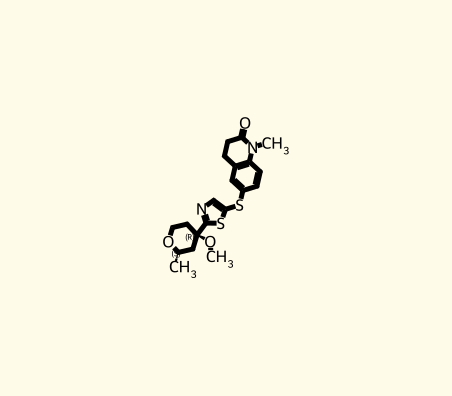 CO[C@]1(c2ncc(Sc3ccc4c(c3)CCC(=O)N4C)s2)CCO[C@@H](C)C1